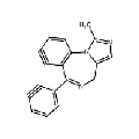 Cc1ncc2n1-c1ccc#cc1C(c1c#cccc1)=NC2